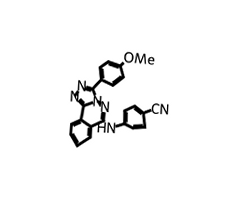 COc1ccc(-c2nnc3c4ccccc4c(Nc4ccc(C#N)cc4)nn23)cc1